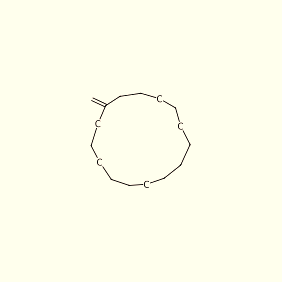 C=C1CCCCCCCCCCCCCC1